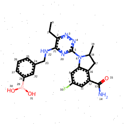 CCc1nnc(N2c3cc(F)cc(C(N)=O)c3CC2C)nc1NCc1cccc(B(O)O)c1